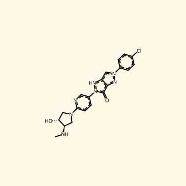 CN[C@@H]1CN(c2ccc(-n3[nH]c4cn(-c5ccc(Cl)cc5)nc4c3=O)cn2)C[C@H]1O